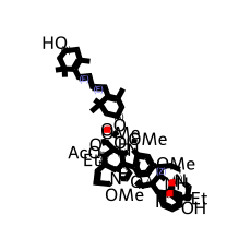 CCC1(O)C[C@H]2C[N@](CC/C=C(\Nc3ccccc3)[C@@](C(=O)OC)(c3cc4c(cc3OC)N(OC)[C@H]3[C@@](OC(=O)O[C@@H]5CC(C)=C(/C=C/C=C/C6=C(C)C[C@H](O)CC6(C)C)C(C)(C)C5)(C(=O)OC)[C@H](OC(C)=O)[C@]5(CC)C=CCN6CC[C@]43[C@@H]65)C2)C1